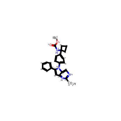 CC(C)(C)OC(=O)NC1(c2ccc(-n3c(-c4ccccc4)cc4nc(C(=O)O)ncc43)cc2)CCC1